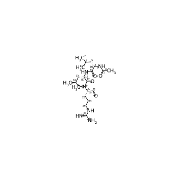 CC(=O)N[C@@H](CC(C)C)C(=O)N[C@@H](CC(C)C)C(=O)N[C@H]([C]=O)CCCNC(=N)N